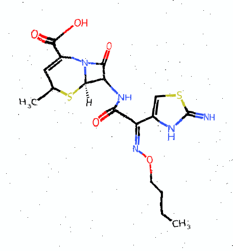 CCCCO/N=C(/C(=O)NC1C(=O)N2C(C(=O)O)=CC(C)S[C@H]12)c1csc(=N)[nH]1